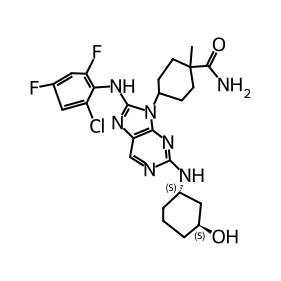 CC1(C(N)=O)CCC(n2c(Nc3c(F)cc(F)cc3Cl)nc3cnc(N[C@H]4CCC[C@H](O)C4)nc32)CC1